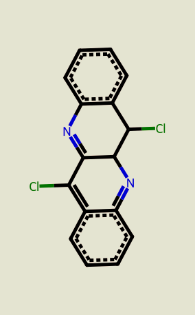 ClC1=c2ccccc2=NC2C1=Nc1ccccc1C2Cl